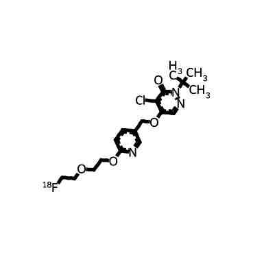 CC(C)(C)n1ncc(OCc2ccc(OCCOCC[18F])nc2)c(Cl)c1=O